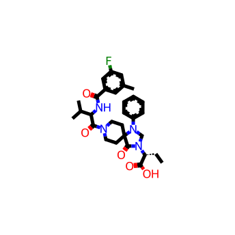 CC[C@H](C(=O)O)N1CN(c2ccccc2)C2(CCN(C(=O)C(NC(=O)c3cc(C)cc(F)c3)C(C)C)CC2)C1=O